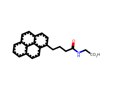 O=C(O)CNC(=O)CCCc1ccc2ccc3cccc4ccc1c2c34